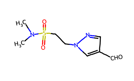 CN(C)S(=O)(=O)CCn1cc(C=O)cn1